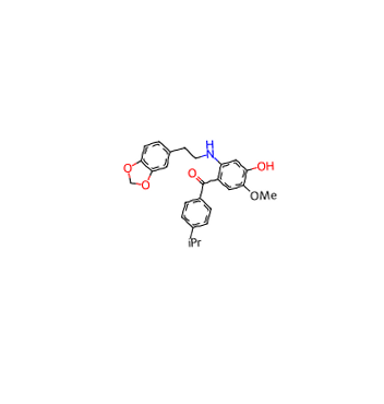 COc1cc(C(=O)c2ccc(C(C)C)cc2)c(NCCc2ccc3c(c2)OCO3)cc1O